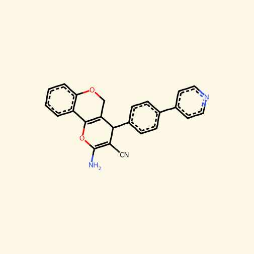 N#CC1=C(N)OC2=C(COc3ccccc32)C1c1ccc(-c2ccncc2)cc1